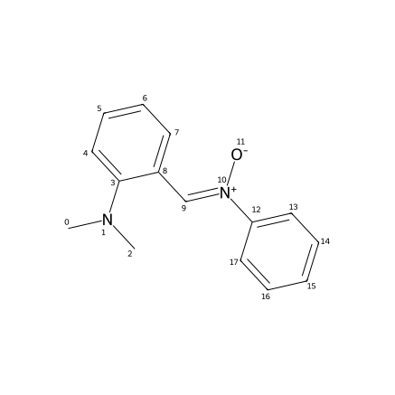 CN(C)c1ccccc1C=[N+]([O-])c1ccccc1